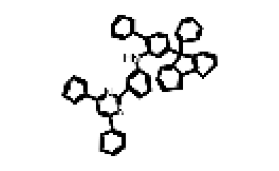 C1=CC2=C(CC1)c1ccccc1C2(c1ccccc1)c1ccc(-c2ccccc2)c(Nc2cccc(-c3nc(-c4ccccc4)cc(-c4ccccc4)n3)c2)c1